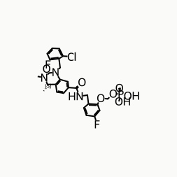 C[C@H]1c2ccc(C(=O)NCc3ccc(F)cc3OCOP(=O)(O)O)cc2N(Cc2c(F)cccc2Cl)C(=O)N1C